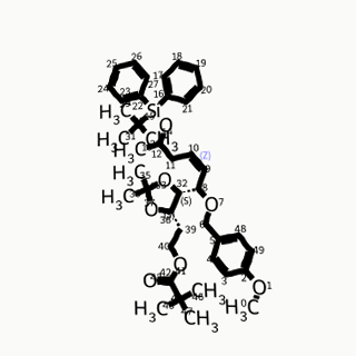 COc1ccc(COC(/C=C\CC(C)O[Si](c2ccccc2)(c2ccccc2)C(C)(C)C)[C@H]2OC(C)(C)O[C@H]2CCOC(=O)C(C)(C)C)cc1